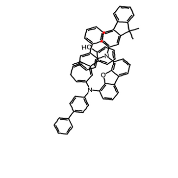 CC1(C)c2ccccc2-c2ccc(N(c3ccccc3-c3ccccc3)c3cccc4c3oc3c(N(C5=CCC#CC(c6ccccc6O)=C5)c5ccc(-c6ccccc6)cc5)cccc34)cc21